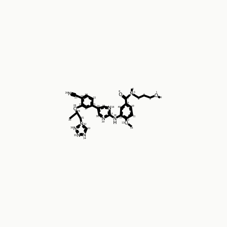 COCCCN(C)C(=O)c1ccc(OC)c(Nc2ncc(-c3ccc(C#N)c(OC(C)Cn4cnnn4)c3)cn2)c1